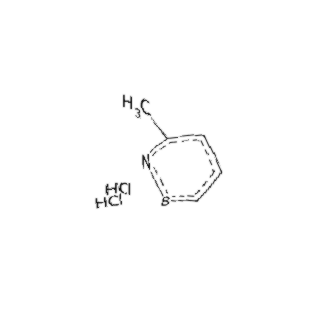 Cc1cccbn1.Cl.Cl